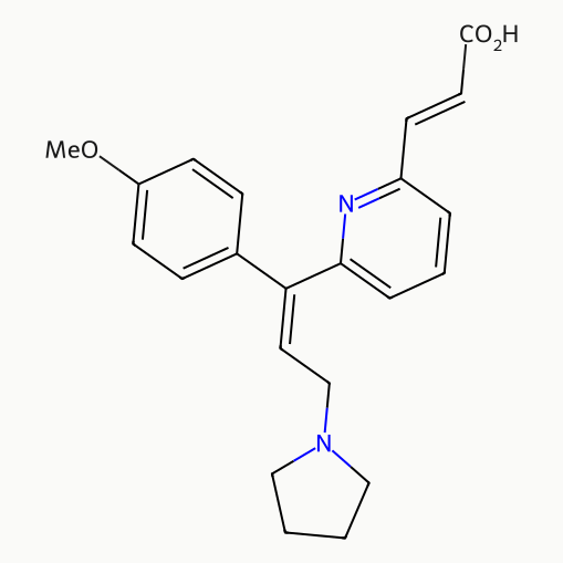 COc1ccc(C(=CCN2CCCC2)c2cccc(C=CC(=O)O)n2)cc1